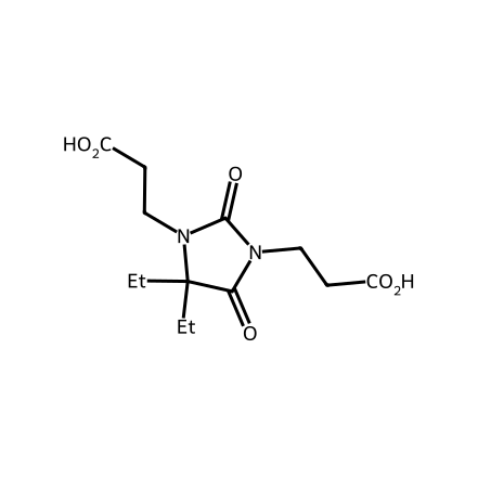 CCC1(CC)C(=O)N(CCC(=O)O)C(=O)N1CCC(=O)O